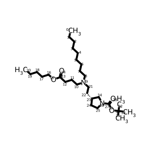 CCCCCCCCCN(CCCC(=O)OCCCCC)CC[C@H]1CCN(C(=O)OC(C)(C)C)C1